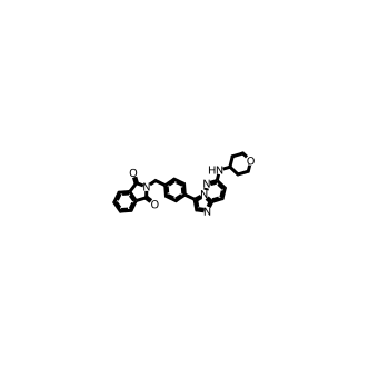 O=C1c2ccccc2C(=O)N1Cc1ccc(-c2cnc3ccc(NC4CCOCC4)nn23)cc1